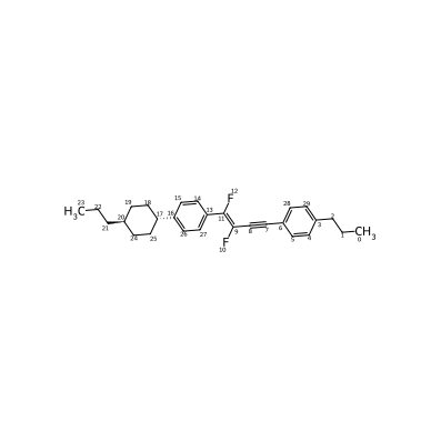 CCCc1ccc(C#C/C(F)=C(\F)c2ccc([C@H]3CC[C@H](CCC)CC3)cc2)cc1